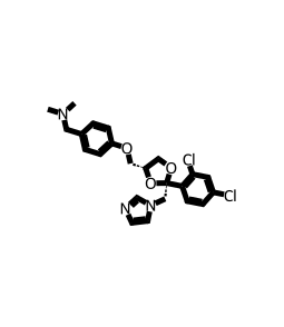 CN(C)Cc1ccc(OC[C@@H]2CO[C@@](Cn3ccnc3)(c3ccc(Cl)cc3Cl)O2)cc1